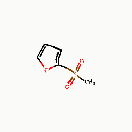 CS(=O)(=O)c1c[c]co1